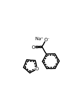 O=C([O-])c1ccccc1.[Na+].c1ccoc1